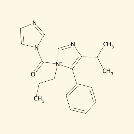 CCC[N+]1(C(=O)n2ccnc2)C=NC(C(C)C)=C1c1ccccc1